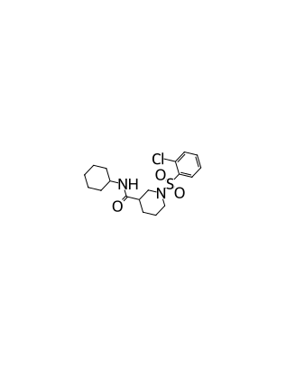 O=C(NC1CCCCC1)C1CCCN(S(=O)(=O)c2ccccc2Cl)C1